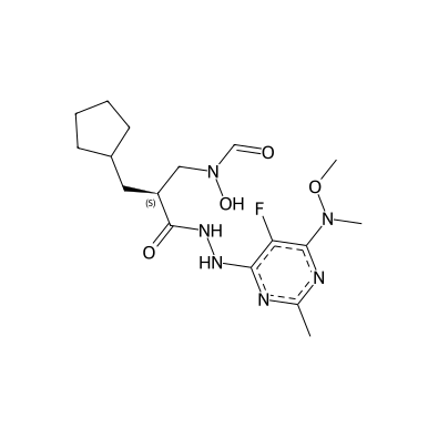 CON(C)c1nc(C)nc(NNC(=O)[C@@H](CC2CCCC2)CN(O)C=O)c1F